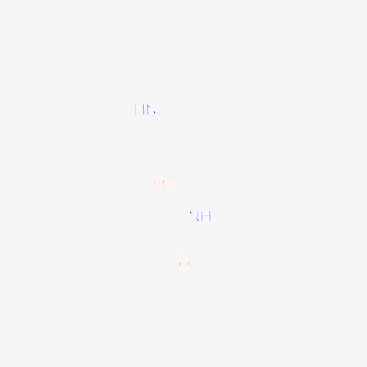 CC1(CC(=O)NC=O)CCNCC1